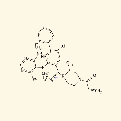 C=CC(=O)N1CCN(/C(=N/C)c2cc(Cl)c(-c3ccccc3F)nc2N(C=O)c2c(C(C)C)ncnc2N(C)C)C(C)C1